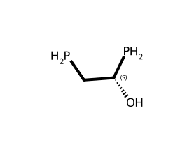 O[C@@H](P)CP